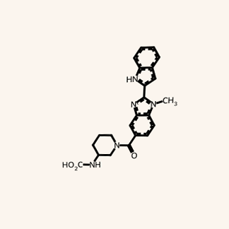 Cn1c(-c2cc3ccccc3[nH]2)nc2cc(C(=O)N3CCCC(NC(=O)O)C3)ccc21